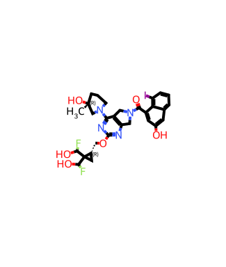 C[C@@]1(O)CCCN(c2nc(OC[C@@H]3CC3(C(O)F)C(O)F)nc3c2CN(C(=O)c2cc(O)cc4cccc(I)c24)C3)C1